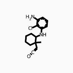 CC1(C=C=O)CCCCC1Nc1cccc(N)c1Cl